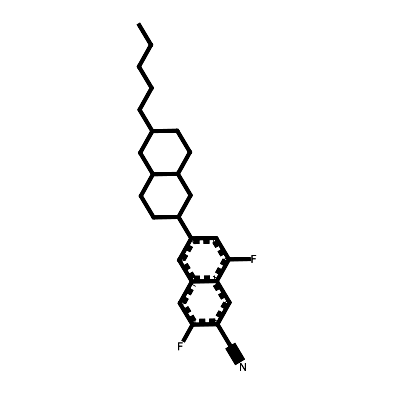 CCCCCC1CCC2CC(c3cc(F)c4cc(C#N)c(F)cc4c3)CCC2C1